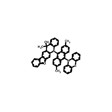 Cc1ccc2c(N3c4ccccc4C(C)(C)c4cc5c(cc43)oc3ccccc35)c3cc(C)ccc3c(N3c4ccccc4Sc4ccccc43)c2c1